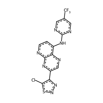 FC(F)(F)c1cnc(Nc2ccnc3nc(-c4nnsc4Cl)cnc23)nc1